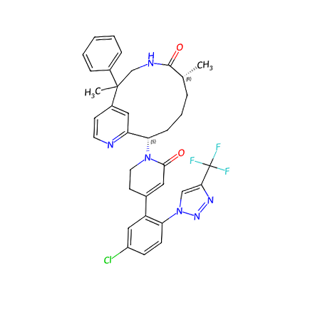 C[C@@H]1CCC[C@H](N2CCC(c3cc(Cl)ccc3-n3cc(C(F)(F)F)nn3)=CC2=O)c2cc(ccn2)C(C)(c2ccccc2)CNC1=O